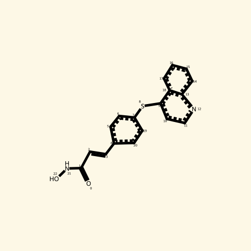 O=C(/C=C/c1ccc(Sc2ccnc3ccccc23)cc1)NO